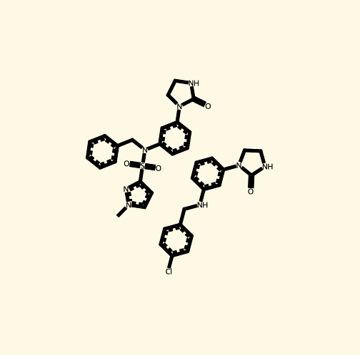 Cn1ccc(S(=O)(=O)N(Cc2ccccc2)c2cccc(N3CCNC3=O)c2)n1.O=C1NCCN1c1cccc(NCc2ccc(Cl)cc2)c1